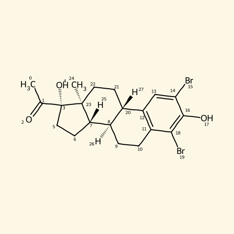 CC(=O)[C@]1(O)CC[C@H]2[C@@H]3CCc4c(cc(Br)c(O)c4Br)[C@H]3CC[C@@]21C